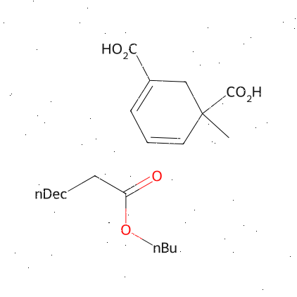 CC1(C(=O)O)C=CC=C(C(=O)O)C1.CCCCCCCCCCCC(=O)OCCCC